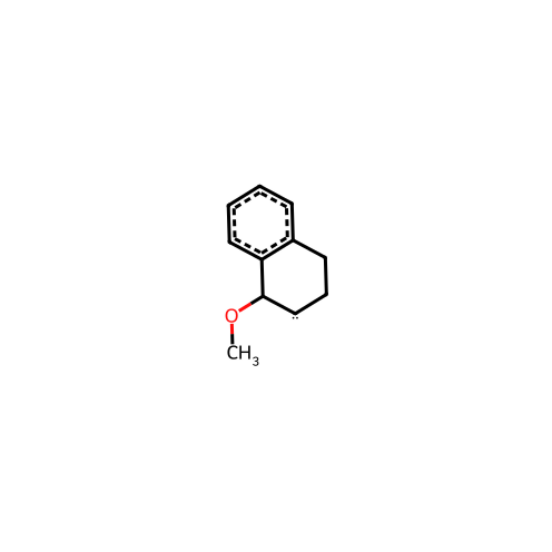 COC1[C]CCc2ccccc21